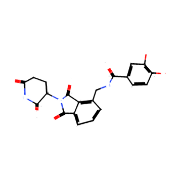 O=C1CCC(N2C(=O)c3cccc(CNC(=O)c4ccc(O)c(O)c4)c3C2=O)C(=O)N1